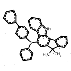 CC1(C)c2ccccc2-c2c1cc(N(c1ccccc1)c1ccc(-c3ccccc3)cc1)c1c2[nH]c2ccccc21